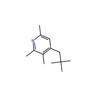 Cc1cc(CC(C)(C)C)c(C)c(C)n1